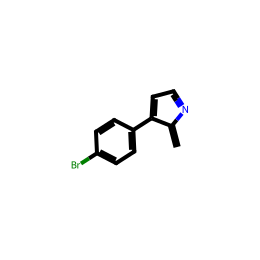 C=C1N=CC=C1c1ccc(Br)cc1